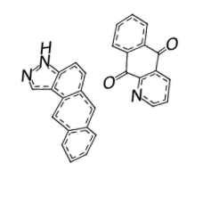 O=C1c2ccccc2C(=O)c2ncccc21.c1ccc2cc3c(ccc4[nH]ncc43)cc2c1